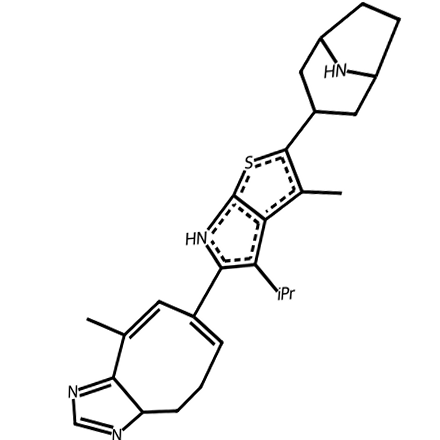 C/C1=C/C(c2[nH]c3sc(C4CC5CCC(C4)N5)c(C)c3c2C(C)C)=C\CCC2N=CN=C12